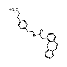 O=C(O)CCc1ccc(CCNC(=O)Cc2cccc3c2Cc2ccccc2CS3)cc1